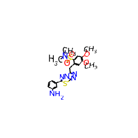 COc1cc(Cc2nnc3sc(-c4cccc(N)c4)nn23)c(S(=O)(=O)N(C)C)cc1OC